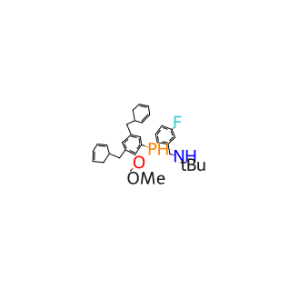 COCOc1c(CC2C=CC=CC2)cc(CC2C=CC=CC2)cc1Pc1ccc(F)cc1CNC(C)(C)C